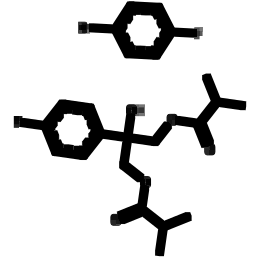 CC(C)C(=O)OCC(O)(COC(=O)C(C)C)c1ccc(F)cc1.Fc1ccc(Br)cc1